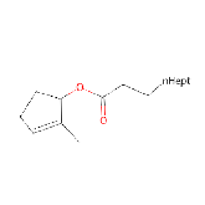 CCCCCCCCCC(=O)OC1CCC=C1C